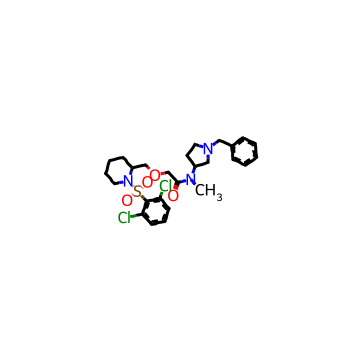 CN(C(=O)COCC1CCCCN1S(=O)(=O)c1c(Cl)cccc1Cl)C1CCN(Cc2ccccc2)C1